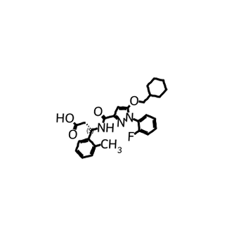 Cc1ccccc1[C@H](CC(=O)O)NC(=O)c1cc(OCC2CCCCC2)n(-c2ccccc2F)n1